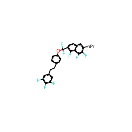 CCCc1cc2ccc(C(F)(F)Oc3ccc(CCc4cc(F)c(F)c(F)c4)cc3)c(F)c2c(F)c1F